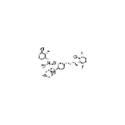 O=C([C@H]1C2CNCC(C[C@@H]1c1ccc(CCCOc3c(F)ccc(F)c3Cl)cc1)N2)N(Cc1cccc(Cl)c1Cl)C1CC1